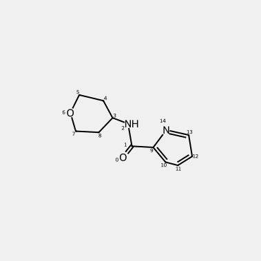 O=C(NC1CCOCC1)c1ccccn1